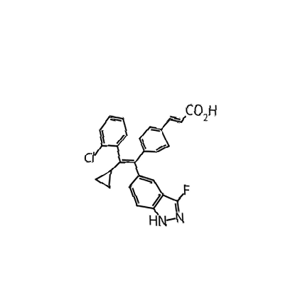 O=C(O)/C=C/c1ccc(/C(=C(\c2ccccc2Cl)C2CC2)c2ccc3[nH]nc(F)c3c2)cc1